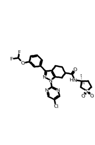 C[C@]1(NC(=O)C2CCc3c(-c4cccc(OC(F)F)c4)nn(-c4ncc(Cl)cn4)c3C2)CCS(=O)(=O)C1